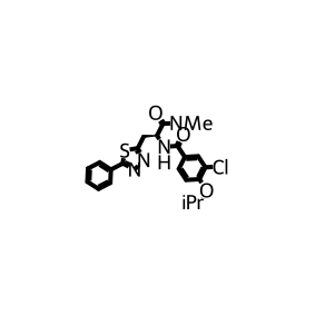 CNC(=O)[C@H](Cc1nnc(-c2ccccc2)s1)NC(=O)c1ccc(OC(C)C)c(Cl)c1